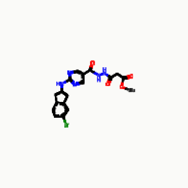 CC(C)(C)OC(=O)CC(=O)NNC(=O)c1cnc(NC2Cc3ccc(Br)cc3C2)nc1